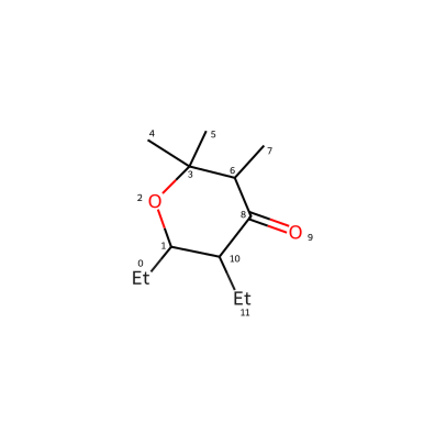 CCC1OC(C)(C)C(C)C(=O)C1CC